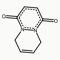 O=c1ccc(=O)n2n1CC=CC2